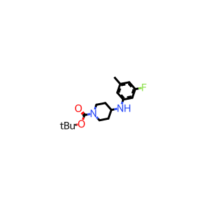 Cc1cc(F)cc(NC2CCN(C(=O)OC(C)(C)C)CC2)c1